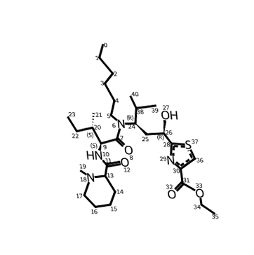 CCCCCCN(C(=O)[C@@H](NC(=O)C1CCCCN1C)[C@@H](C)CC)[C@H](C[C@@H](O)c1nc(C(=O)OCC)cs1)C(C)C